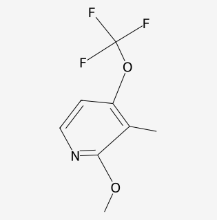 COc1nccc(OC(F)(F)F)c1C